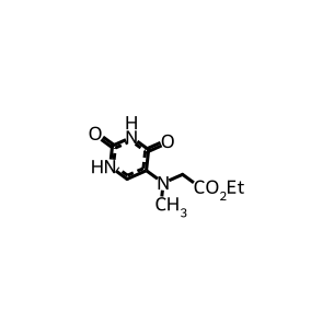 CCOC(=O)CN(C)c1c[nH]c(=O)[nH]c1=O